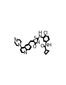 CN1CCN(c2ccnc3ccc(C=C4SC(Nc5cc(NC(=O)C6CCC6)ccc5Cl)=NC4=O)cc23)CC1